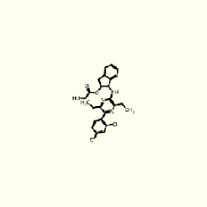 CCc1nc(-c2ccc(Cl)cc2Cl)c(CC)nc1NC1c2ccccc2CC1OC(=O)CO